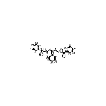 O=C(OCCN(CCOC(=O)c1ccccc1)c1ccccc1)c1ccccc1